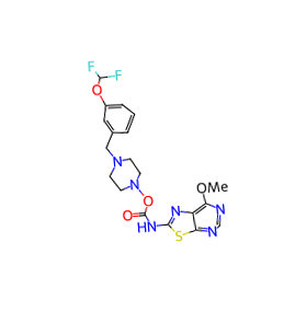 COc1ncnc2sc(NC(=O)ON3CCN(Cc4cccc(OC(F)F)c4)CC3)nc12